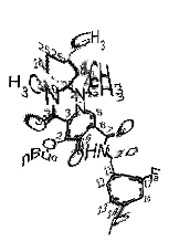 CCCCOc1c2n(cc(C(=O)NCc3ccc(F)cc3F)c1=O)N(C)[C@@]1(CC[C@H](C)[C@@H]1C)N(C)C2=O